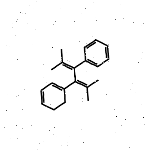 CC(C)=C(C1=CC=CCC1)C(=C(C)C)c1ccccc1